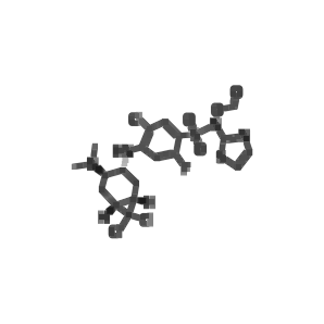 CN(C)[C@@H]1C[C@@H]2[C@H](C[C@H]1Nc1cc(F)c(S(=O)(=O)N(OC=O)c3nccs3)cc1Cl)C2(Cl)Cl